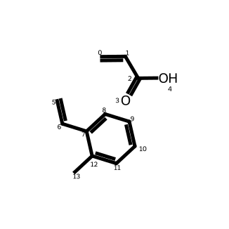 C=CC(=O)O.C=Cc1ccccc1C